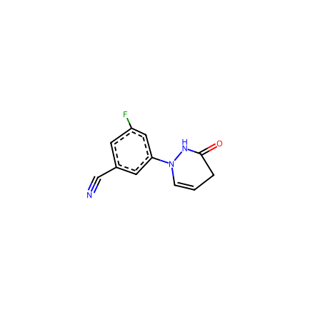 N#Cc1cc(F)cc(N2C=CCC(=O)N2)c1